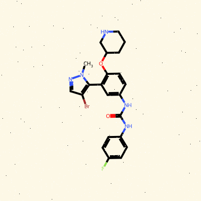 Cn1ncc(Br)c1-c1cc(NC(=O)Nc2ccc(F)cc2)ccc1OC1CCCNC1